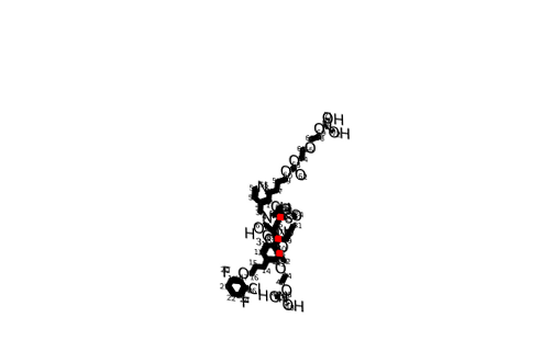 Cc1c(CN(C(=O)C2(C)C(c3ccc(CCCOc4c(F)ccc(F)c4Cl)cc3)CC3CS(=O)(=O)CC2N3C(=O)OCCOCCON(O)O)C2CC2)ccnc1CCCOC(=O)OCCOCCON(O)O